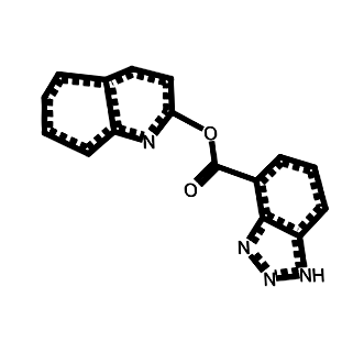 O=C(Oc1ccc2ccccc2n1)c1cccc2[nH]nnc12